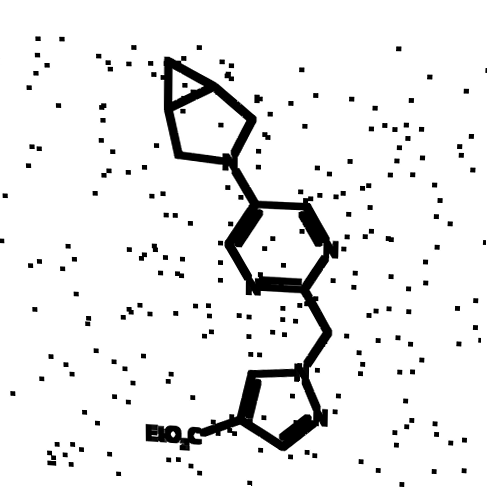 CCOC(=O)c1cnn(Cc2ncc(N3CC4CC4C3)cn2)c1